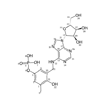 Cc1cc(OP(=O)(O)O)cc(CNc2ncnc3c2ncn3[C@@H]2O[C@H](CO)[C@@H](O)[C@H]2O)c1O